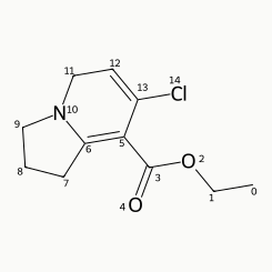 CCOC(=O)C1=C2CCCN2CC=C1Cl